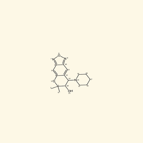 CC1(C)Oc2cc3nonc3cc2C(N2CCCCC2)C1O